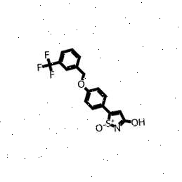 [O-][s+]1nc(O)cc1-c1ccc(OCc2cccc(C(F)(F)F)c2)cc1